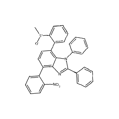 C[S+]([O-])c1ccccc1-c1ccc(-c2ccccc2[N+](=O)[O-])c2nc(-c3ccccc3)n(-c3ccccc3)c12